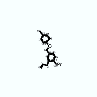 C=CCc1cc(COc2ccc(C)cc2)ccc1C(C)C